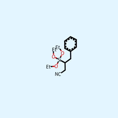 CCO[Si](OCC)(OCC)C(CC#N)Cc1ccccc1